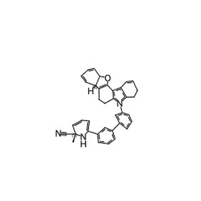 C[C@@]1(C#N)C=CC=C(c2cccc(-c3cccc(-n4c5c(c6c4CCC4=C6OC6C=CC=C[C@@H]46)C=CCC5)c3)c2)N1